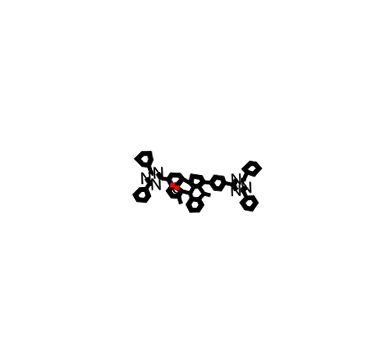 Cc1ccccc1C1c2ccccc2C(C)c2c(-c3ccc(-c4nc(-c5ccccc5)nc(-c5ccccc5)n4)cc3)ccc(-c3ccc(-c4nc(-c5ccccc5)nc(-c5ccccc5)n4)cc3)c21